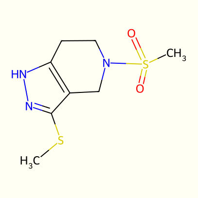 CSc1n[nH]c2c1CN(S(C)(=O)=O)CC2